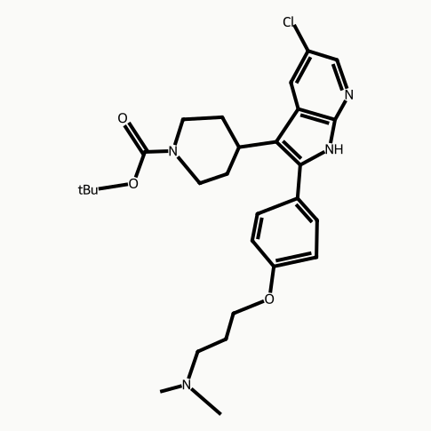 CN(C)CCCOc1ccc(-c2[nH]c3ncc(Cl)cc3c2C2CCN(C(=O)OC(C)(C)C)CC2)cc1